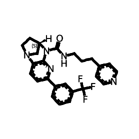 O=C(NCCCc1ccncc1)N1c2nc(-c3cccc(C(F)(F)F)c3)ccc2N2CC[C@H]1C2